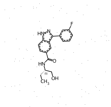 CC[C@@H](CO)NC(=O)c1ccc2[nH]nc(-c3cccc(F)c3)c2c1